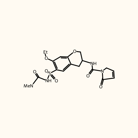 CCOc1cc2c(cc1S(=O)(=O)NC(=O)NC)CC(NC(=O)N1CC=CC1=O)CO2